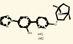 C[C@]12CC[C@](C)(C[C@H](Oc3ccc(-c4ncc(-n5nccn5)cc4O)nn3)C1)N2.Cl.Cl